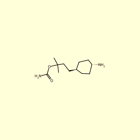 CC(C)(CC[C@H]1CC[C@H](N)CC1)OC(N)=O